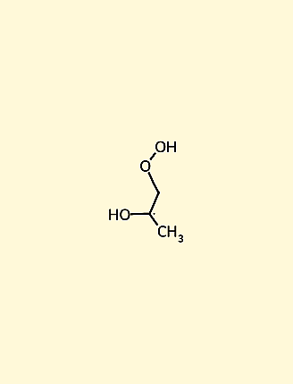 C[C](O)COO